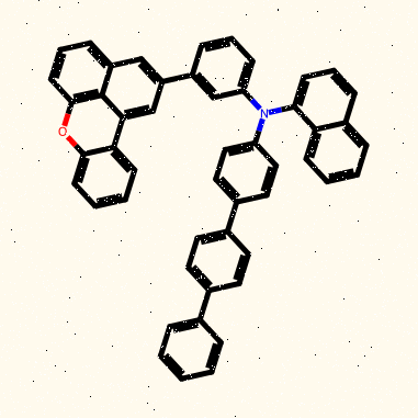 c1ccc(-c2ccc(-c3ccc(N(c4cccc(-c5cc6c7c(cccc7c5)Oc5ccccc5-6)c4)c4cccc5ccccc45)cc3)cc2)cc1